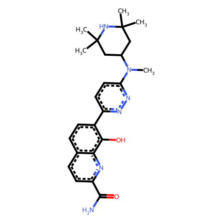 CN(c1ccc(-c2ccc3ccc(C(N)=O)nc3c2O)nn1)C1CC(C)(C)NC(C)(C)C1